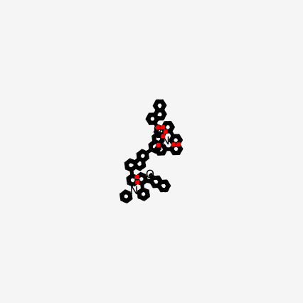 c1ccc(-c2ccccc2N(c2ccc(-c3cccc4c3ccc3ccccc34)cc2)c2ccccc2-c2cccc3oc4cc5cc(-c6ccc7c(ccc8c(-c9ccc(N(c%10ccccc%10)c%10ccccc%10-c%10cccc%11oc%12cc%13ccccc%13cc%12c%10%11)cc9)cccc87)c6)ccc5cc4c23)cc1